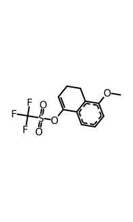 COc1cccc2c1CCC=C2OS(=O)(=O)C(F)(F)F